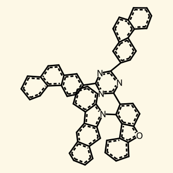 c1ccc2cc3c(cc2c1)c1ccccc1n3-c1c(-c2nc(-c3ccc4c(ccc5ccccc54)c3)nc(-c3ccc4c(ccc5ccccc54)c3)n2)ccc2oc3ccccc3c12